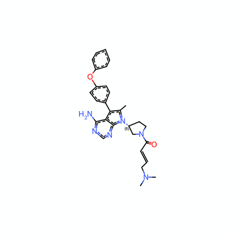 Cc1c(-c2ccc(Oc3ccccc3)cc2)c2c(N)ncnc2n1[C@@H]1CCN(C(=O)C=CCN(C)C)C1